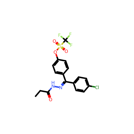 CCC(=O)NN=C(c1ccc(Cl)cc1)c1ccc(OS(=O)(=O)C(F)(F)F)cc1